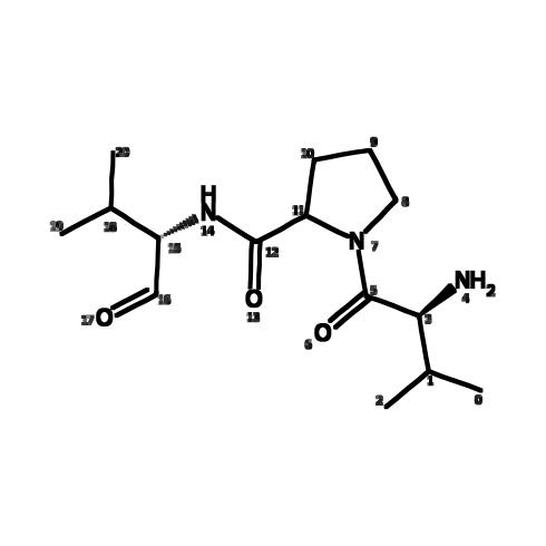 CC(C)[C@H](N)C(=O)N1CCCC1C(=O)N[C@H](C=O)C(C)C